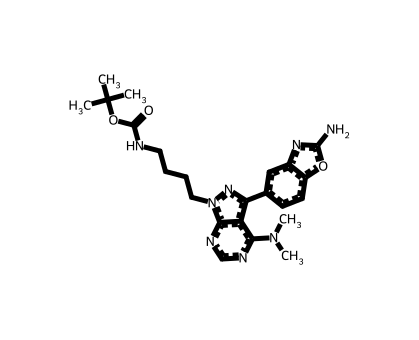 CN(C)c1ncnc2c1c(-c1ccc3oc(N)nc3c1)nn2CCCCNC(=O)OC(C)(C)C